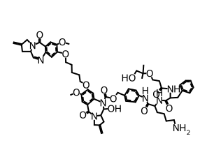 C=C1CC2C=Nc3cc(OCCCCCOc4cc5c(cc4OC)C(=O)N4CC(=C)CC4C(O)N5C(=O)OCc4ccc(NC(=O)C(CCCCN)NC(=O)C(Cc5ccccc5)NC(=O)CCOC(C)(C)CO)cc4)c(OC)cc3C(=O)N2C1